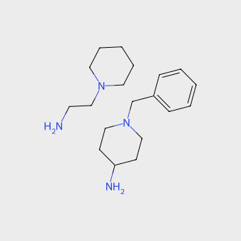 NC1CCN(Cc2ccccc2)CC1.NCCN1CCCCC1